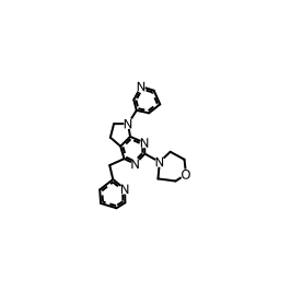 c1ccc(Cc2nc(N3CCOCC3)nc3c2CCN3c2cccnc2)nc1